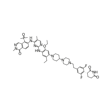 CCOc1cc(N2CCC(N3CCN(CCc4cc(F)c([C@H]5CCC(=O)NC5=O)c(F)c4)CC3)CC2)c(CC)cc1Nc1ncc(C)c(Nc2ccc3c(=O)n(C)ncc3c2P(C)(C)=O)n1